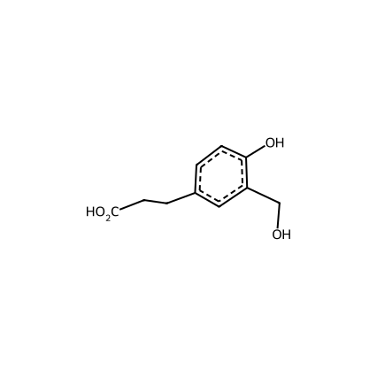 O=C(O)CCc1ccc(O)c(CO)c1